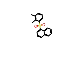 Cc1cccc(S(=O)(=O)c2cccc3ccccc23)c1C